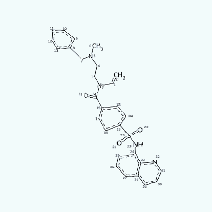 C=CN(CCN(C)Cc1ccccc1)C(=O)c1ccc(S(=O)(=O)Nc2cccc3cccnc23)cc1